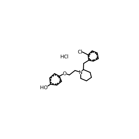 Cl.Oc1ccc(OCCN2CCCCC2Cc2ccccc2Cl)cc1